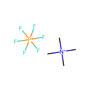 C[N+](C)(C)C.F[P-](F)(F)(F)(F)F